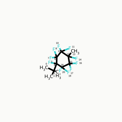 CC(C)(C)C1(F)C(F)(F)C(F)(F)C(C)(F)C(F)(F)C1(F)F